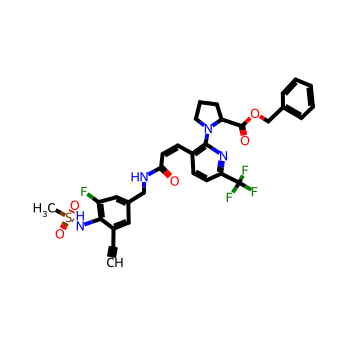 C#Cc1cc(CNC(=O)/C=C\c2ccc(C(F)(F)F)nc2N2CCCC2C(=O)OCc2ccccc2)cc(F)c1NS(C)(=O)=O